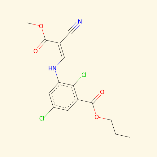 CCCOC(=O)c1cc(Cl)cc(NC=C(C#N)C(=O)OC)c1Cl